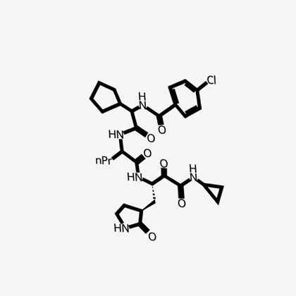 CCCC(NC(=O)C(NC(=O)c1ccc(Cl)cc1)C1CCCC1)C(=O)N[C@@H](C[C@@H]1CCNC1=O)C(=O)C(=O)NC1CC1